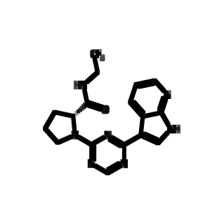 O=C(NCC(F)(F)F)[C@H]1CCCN1c1ncnc(-c2c[nH]c3ncccc23)n1